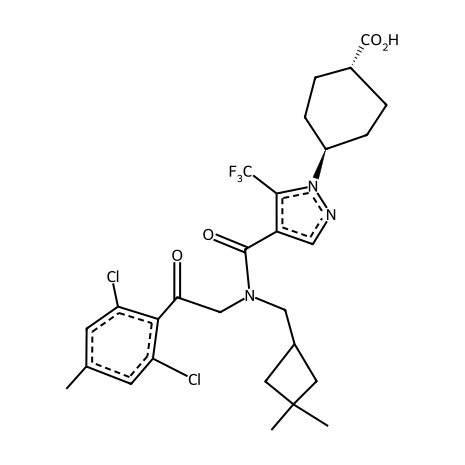 Cc1cc(Cl)c(C(=O)CN(CC2CC(C)(C)C2)C(=O)c2cnn([C@H]3CC[C@H](C(=O)O)CC3)c2C(F)(F)F)c(Cl)c1